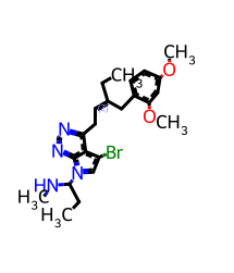 CC/C(=C/Cc1ncnc2c1c(Br)cn2C(CC)NC)Cc1ccc(OC)cc1OC